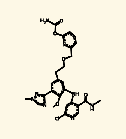 CNC(=O)c1cnc(Cl)cc1Nc1cc(CCOCc2cccc(OC(N)=O)n2)cc(-c2ncn(C)n2)c1OC